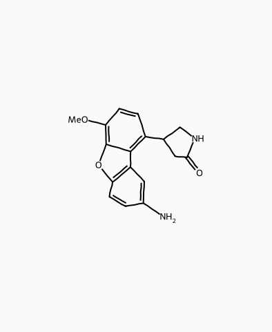 COc1ccc(C2CNC(=O)C2)c2c1oc1ccc(N)cc12